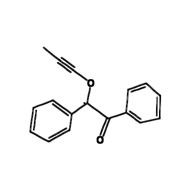 CC#CO[C](C(=O)c1ccccc1)c1ccccc1